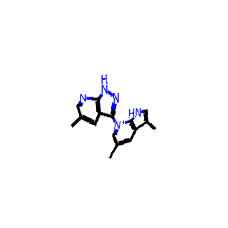 Cc1cnc2[nH]nc(-[n+]3cc(C)cc4c(C)c[nH]c43)c2c1